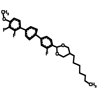 CCCCCCCC1COC(c2ccc(-c3ccc(-c4ccc(OC)c(F)c4F)cc3)cc2F)OC1